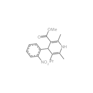 COC(=O)C1=C(C)NC(C)=C(C(C)C)C1c1ccccc1[N+](=O)[O-]